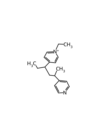 CCC(CC(C)c1ccncc1)c1cc[n+](CC)cc1